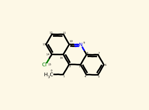 CCc1c2ccccc2nc2cccc(Cl)c12